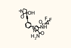 CN1CC[C@@](O)(C#Cc2cccc(-n3cc(NC(=O)[C@H]4CC4(F)F)c(C(N)=O)n3)c2)C1=O